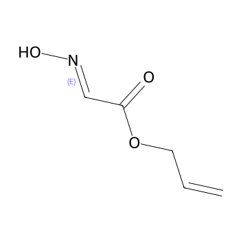 C=CCOC(=O)/C=N/O